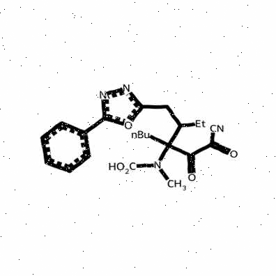 CCCCC(C(=O)C(=O)C#N)(C(CC)Cc1nnc(-c2ccccc2)o1)N(C)C(=O)O